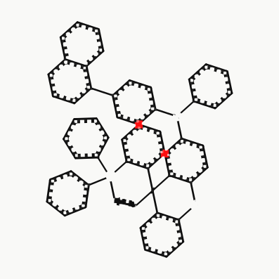 c1ccc(N(c2ccc(-c3cccc4ccccc34)cc2)c2ccc3c(c2)C2(c4ccccc4O3)c3ccccc3[Si](c3ccccc3)(c3ccccc3)c3ccccc32)cc1